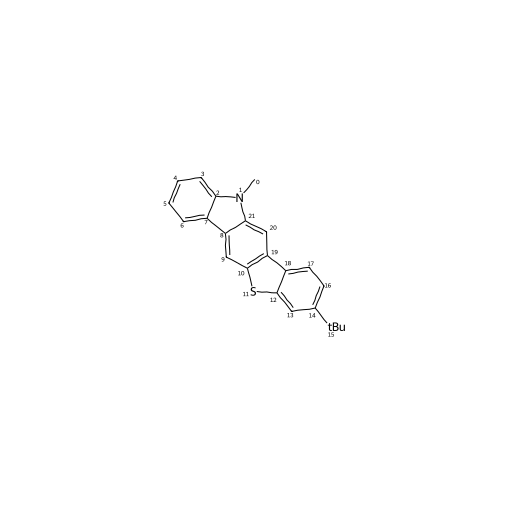 Cn1c2ccccc2c2cc3sc4cc(C(C)(C)C)ccc4c3cc21